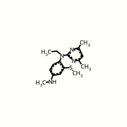 CCN(c1nc(C)cc(C)n1)c1ccc(NC)cc1SC